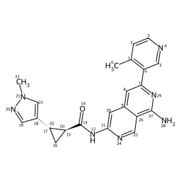 Cc1ccncc1-c1cc2cc(NC(=O)[C@H]3C[C@@H]3c3cnn(C)c3)ncc2c(N)n1